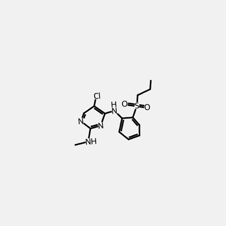 CCCS(=O)(=O)c1ccccc1Nc1nc(NC)ncc1Cl